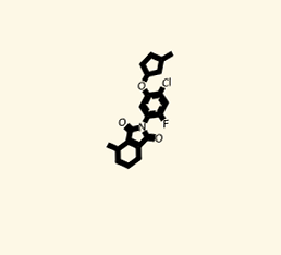 CC1CCC(Oc2cc(N3C(=O)C4=C(C3=O)C(C)CCC4)c(F)cc2Cl)C1